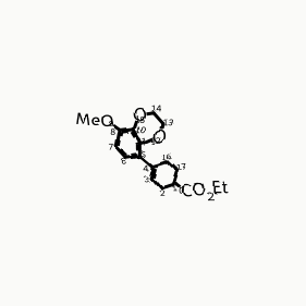 CCOC(=O)C1CC=C(c2ccc(OC)c3c2OCCO3)CC1